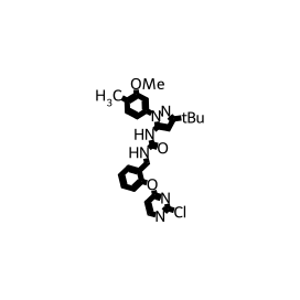 COc1cc(-n2nc(C(C)(C)C)cc2NC(=O)NCc2ccccc2Oc2ccnc(Cl)n2)ccc1C